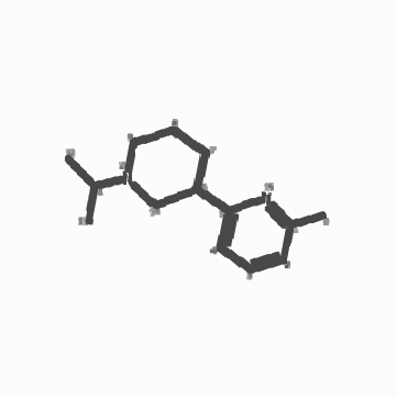 Cc1cccc(C2CCCN(C(C)C)C2)n1